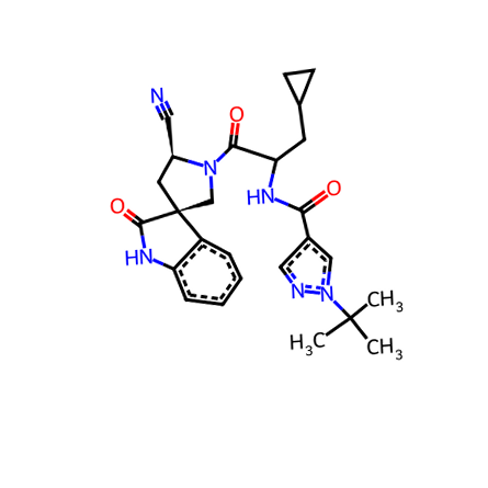 CC(C)(C)n1cc(C(=O)NC(CC2CC2)C(=O)N2C[C@]3(C[C@H]2C#N)C(=O)Nc2ccccc23)cn1